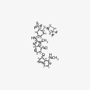 CNc1nccn2ncc(Oc3cnc4nc(Nc5ccc(CN6CCC(F)(F)C6)c(C(F)(F)F)c5)n(C)c4c3Cl)c12